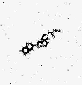 CNC(=O)CN1CCC2(CCn3nc(-c4cnc5ccccc5c4)cc32)C1